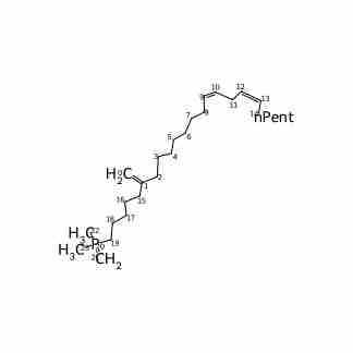 C=C(CCCCCCC/C=C\C/C=C\CCCCC)CCCCCP(=C)(C)C